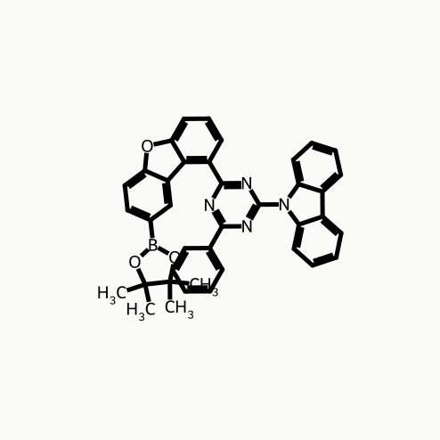 CC1(C)OB(c2ccc3oc4cccc(-c5nc(-c6ccccc6)nc(-n6c7ccccc7c7ccccc76)n5)c4c3c2)OC1(C)C